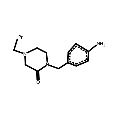 C[C](C)CN1CCN(Cc2ccc(N)cc2)C(=O)C1